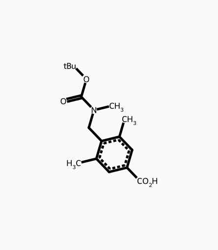 Cc1cc(C(=O)O)cc(C)c1CN(C)C(=O)OC(C)(C)C